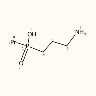 CC(C)P(=O)(O)CCCN